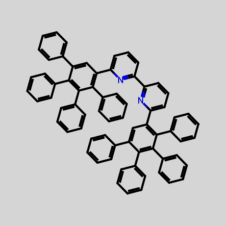 c1ccc(-c2cc(-c3cccc(-c4cccc(-c5cc(-c6ccccc6)c(-c6ccccc6)c(-c6ccccc6)c5-c5ccccc5)n4)n3)c(-c3ccccc3)c(-c3ccccc3)c2-c2ccccc2)cc1